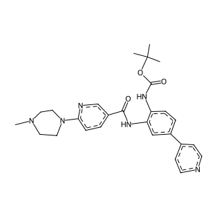 CN1CCN(c2ccc(C(=O)Nc3cc(-c4ccncc4)ccc3NC(=O)OC(C)(C)C)cn2)CC1